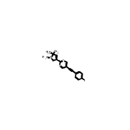 CN1CC(c2ncc(C#Cc3ccc(F)cc3)cn2)=CC1(C)C